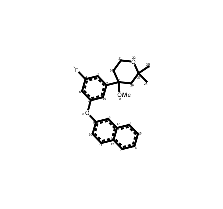 COC1(c2cc(F)cc(Oc3ccc4ccccc4c3)c2)CCOC(C)(C)C1